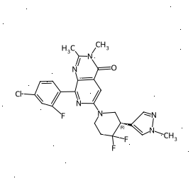 Cc1nc2c(-c3ccc(Cl)cc3F)nc(N3CCC(F)(F)[C@H](c4cnn(C)c4)C3)cc2c(=O)n1C